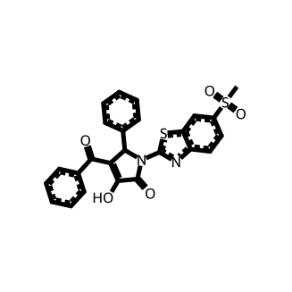 CS(=O)(=O)c1ccc2nc(N3C(=O)C(O)=C(C(=O)c4ccccc4)C3c3ccccc3)sc2c1